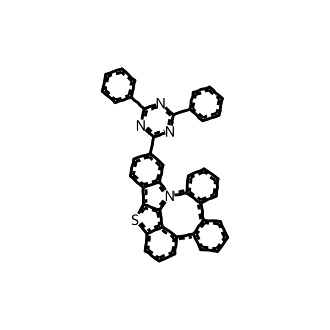 c1ccc(-c2nc(-c3ccccc3)nc(-c3ccc4c5sc6cccc7c8ccccc8c8ccccc8n(c4c3)c5c67)n2)cc1